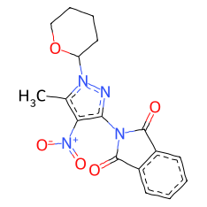 Cc1c([N+](=O)[O-])c(N2C(=O)c3ccccc3C2=O)nn1C1CCCCO1